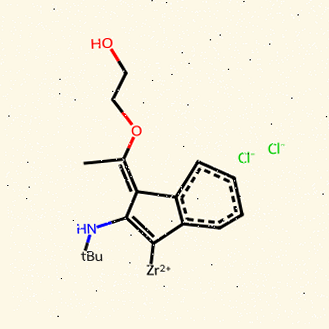 CC(OCCO)=C1C(NC(C)(C)C)=[C]([Zr+2])c2ccccc21.[Cl-].[Cl-]